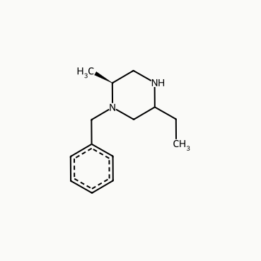 CCC1CN(Cc2ccccc2)[C@@H](C)CN1